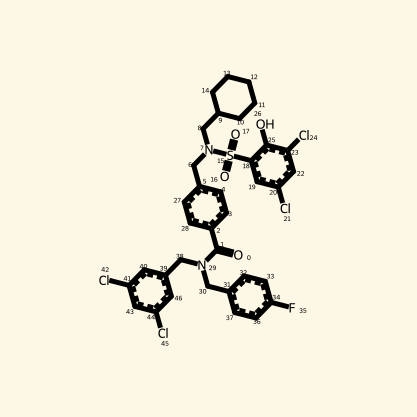 O=C(c1ccc(CN(CC2CCCCC2)S(=O)(=O)c2cc(Cl)cc(Cl)c2O)cc1)N(Cc1ccc(F)cc1)Cc1cc(Cl)cc(Cl)c1